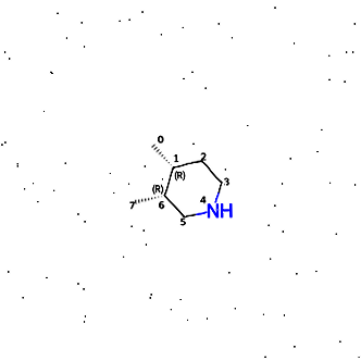 C[C@@H]1CCNC[C@@H]1C